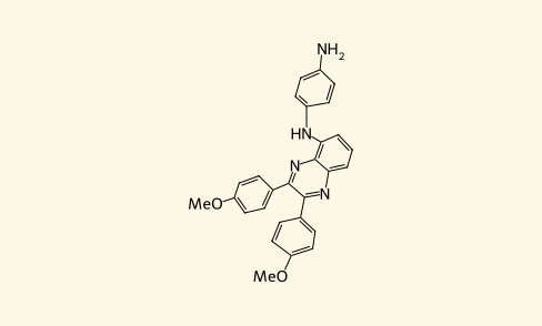 COc1ccc(-c2nc3cccc(Nc4ccc(N)cc4)c3nc2-c2ccc(OC)cc2)cc1